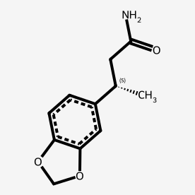 C[C@@H](CC(N)=O)c1ccc2c(c1)OCO2